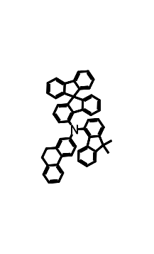 CC1(C)c2ccccc2-c2c(N(c3ccc4c(c3)CCc3ccccc3-4)c3cccc4c3-c3ccccc3C43c4ccccc4-c4ccccc43)cccc21